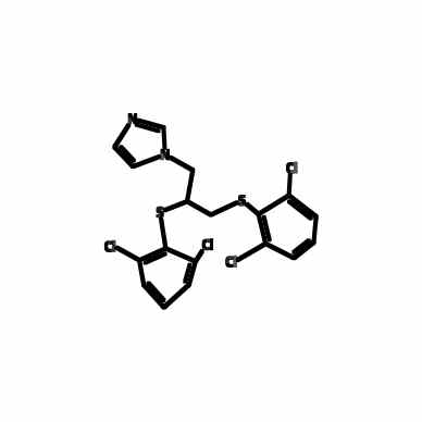 Clc1cccc(Cl)c1SCC(Cn1ccnc1)Sc1c(Cl)cccc1Cl